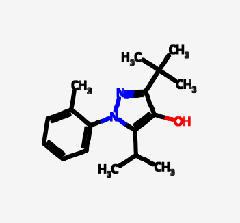 Cc1ccccc1-n1nc(C(C)(C)C)c(O)c1C(C)C